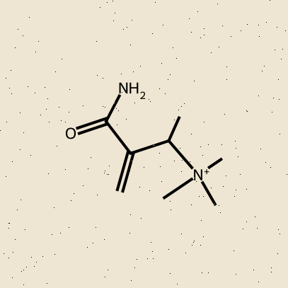 C=C(C(N)=O)C(C)[N+](C)(C)C